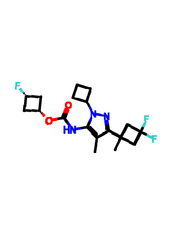 Cc1c(C2(C)CC(F)(F)C2)nn(C2CCC2)c1NC(=O)O[C@H]1C[C@@H](F)C1